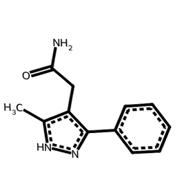 Cc1[nH]nc(-c2ccccc2)c1CC(N)=O